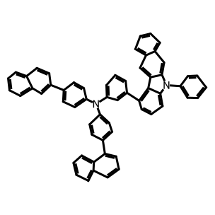 c1ccc(-n2c3cc4ccccc4cc3c3c(-c4cccc(N(c5ccc(-c6ccc7ccccc7c6)cc5)c5ccc(-c6cccc7ccccc67)cc5)c4)cccc32)cc1